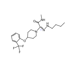 CCCCN/N=C(\C(=O)NC)N1CCC(Oc2ccccc2C(F)(F)F)CC1